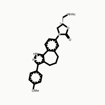 COc1ccc(-c2n[nH]c3c2CCCc2cc(N4C[C@H](CNC(C)=O)OC4=O)ccc2-3)cc1